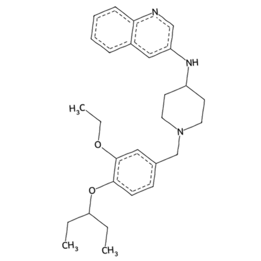 CCOc1cc(CN2CCC(Nc3cnc4ccccc4c3)CC2)ccc1OC(CC)CC